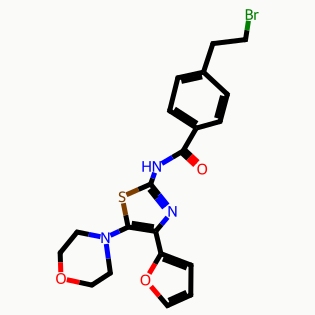 O=C(Nc1nc(-c2ccco2)c(N2CCOCC2)s1)c1ccc(CCBr)cc1